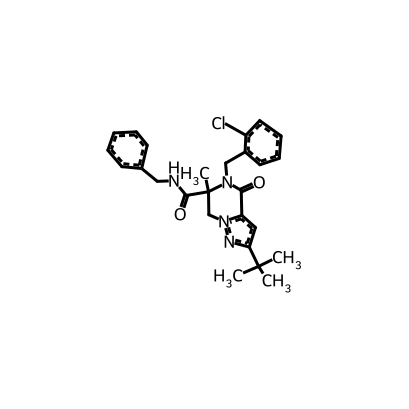 CC(C)(C)c1cc2n(n1)CC(C)(C(=O)NCc1ccccc1)N(Cc1ccccc1Cl)C2=O